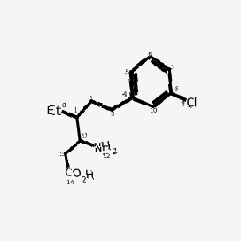 CCC(CCc1cccc(Cl)c1)C(N)CC(=O)O